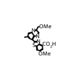 COCc1cnc2c(-c3nc4c(C(=O)O)cc(OC)cc4s3)cc(C)cc2n1